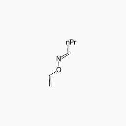 C=CON=[C]CCC